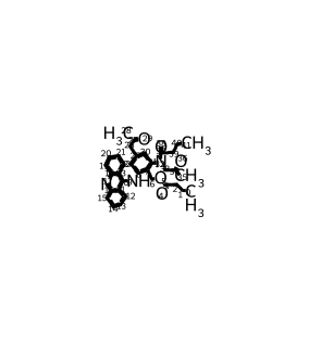 CCCC(=O)OCc1c(Nc2c3ccccc3nc3ccccc23)cc(CC(C)=O)cc1N(CC(C)=O)C(=O)CCC